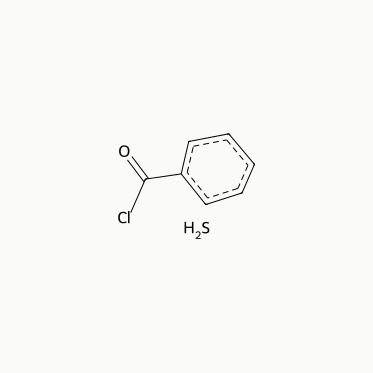 O=C(Cl)c1ccccc1.S